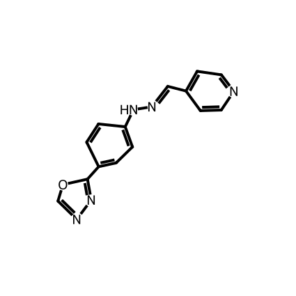 C(=NNc1ccc(-c2nnco2)cc1)c1ccncc1